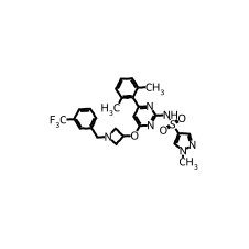 Cc1cccc(C)c1-c1cc(OC2CN(Cc3cccc(C(F)(F)F)c3)C2)nc(NS(=O)(=O)c2cnn(C)c2)n1